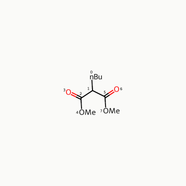 CCCCC(C(=O)OC)C(=O)OC